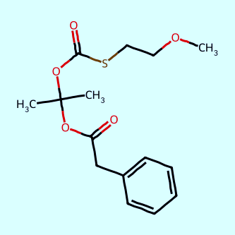 COCCSC(=O)OC(C)(C)OC(=O)Cc1ccccc1